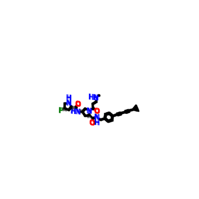 CNCCC(=O)N1C[C@H](NC(=O)[C@@H]2C[C@H](F)CN2)C[C@@H]1C(=O)NCc1ccc(C#CC#CC2CC2)cc1